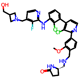 COc1cc(-c2nccc(-c3cccc(Nc4nccc(CN5CC(CO)C5)c4F)c3Cl)c2Cl)ccc1CNC[C@@H]1CCC(=O)N1